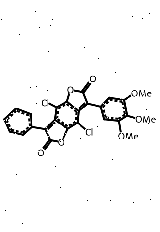 COc1cc(C2=c3c(Cl)c4c(c(Cl)c3OC2=O)=C(c2ccccc2)C(=O)O4)cc(OC)c1OC